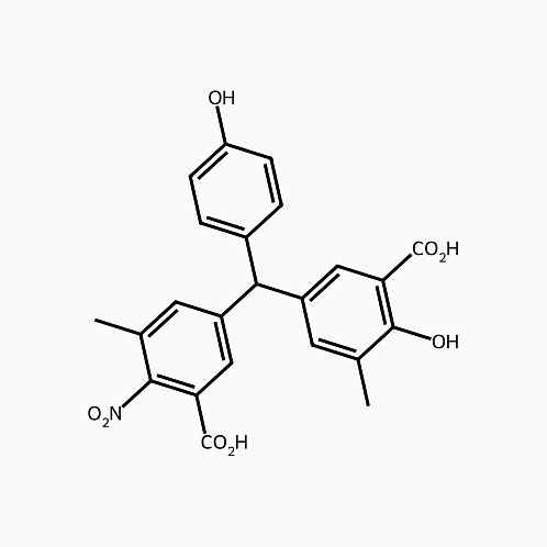 Cc1cc(C(c2ccc(O)cc2)c2cc(C)c([N+](=O)[O-])c(C(=O)O)c2)cc(C(=O)O)c1O